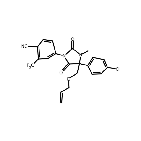 C=CCOCC1(c2ccc(Cl)cc2)C(=O)N(c2ccc(C#N)c(C(F)(F)F)c2)C(=O)N1C